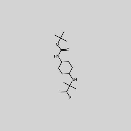 CC(C)(C)OC(=O)NC1CCC(NC(C)(C)C(F)F)CC1